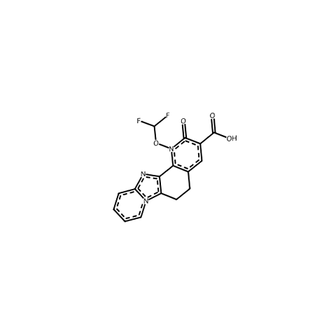 O=C(O)c1cc2c(n(OC(F)F)c1=O)-c1nc3ccccn3c1CC2